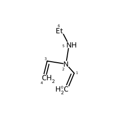 C=CN(C=C)NCC